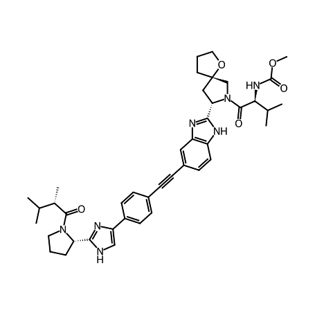 COC(=O)N[C@H](C(=O)N1C[C@]2(CCCO2)C[C@H]1c1nc2cc(C#Cc3ccc(-c4c[nH]c([C@@H]5CCCN5C(=O)[C@@H](C)C(C)C)n4)cc3)ccc2[nH]1)C(C)C